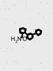 NC(=O)c1ccccc1-c1cccc(-c2ccccc2)c1